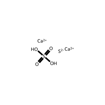 O=S(=O)(O)O.[Ca+2].[Ca+2].[S-2]